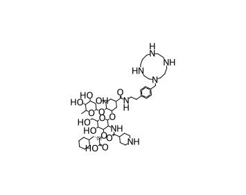 CC1CC(C(=O)NCCc2ccc(CN3CCCNCCNCCCNCC3)cc2)CC(OC2OC(CO)C(O)C(O[C@@H](CC3CCCCC3)C(=O)O)C2NC(=O)C2CCNCC2)C1OC1OC(C)C(O)C(O)C1O